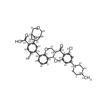 CN1CCN(c2cc(Cl)c(C(=O)N3COc4c(cccc4-c4cc(N5C6CCC5COC6)c(C(=O)O)cc4F)C3)c(Cl)c2)CC1